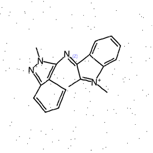 CC1=[N+](C)c2ccccc2/C1=N/c1c2ccccc2nn1C